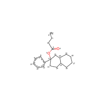 CC(C)CCC(=O)OC1(c2ccccc2)CCC2CCCCC2C1